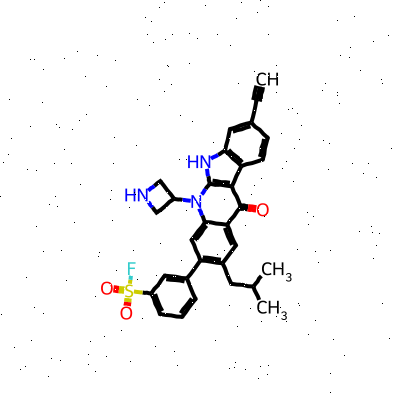 C#Cc1ccc2c(c1)[nH]c1c2c(=O)c2cc(CC(C)C)c(-c3cccc(S(=O)(=O)F)c3)cc2n1C1CNC1